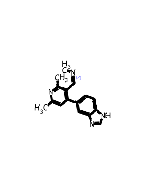 C/N=C\c1c(-c2ccc3[nH]cnc3c2)cc(C)nc1C